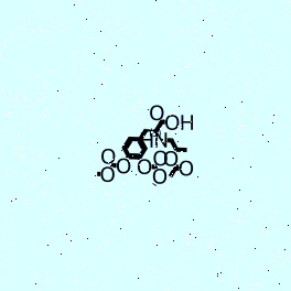 COC(=O)Oc1ccc(C[C@H](NCC(C)OC(C)=O)C(=O)O)cc1OC(=O)OC